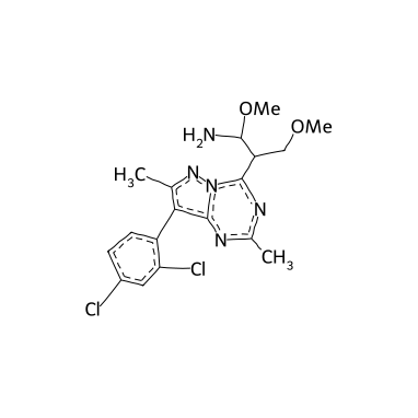 COCC(c1nc(C)nc2c(-c3ccc(Cl)cc3Cl)c(C)nn12)C(N)OC